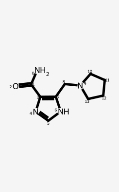 NC(=O)c1nc[nH]c1CN1CCCC1